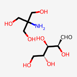 NC(CO)(CO)CO.O=C[C@@H](O)[C@H](O)[C@H](O)CO